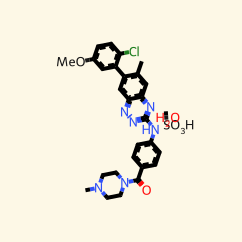 COc1ccc(Cl)c(-c2cc3nnc(Nc4ccc(C(=O)N5CCN(C)CC5)cc4)nc3cc2C)c1.CS(=O)(=O)O.O